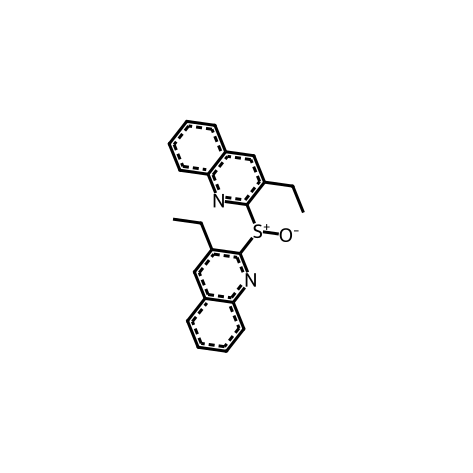 CCc1cc2ccccc2nc1[S+]([O-])c1nc2ccccc2cc1CC